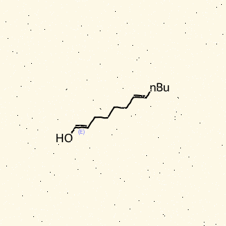 CCCCC=CCCCC/C=C/O